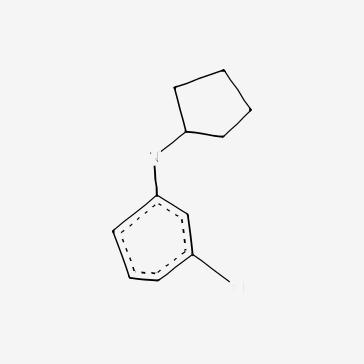 Clc1cccc(NC2CCCC2)c1